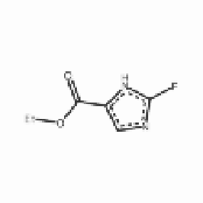 CCOC(=O)c1cnc(F)[nH]1